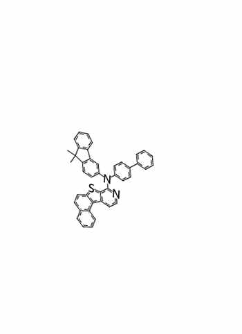 CC1(C)c2ccccc2-c2cc(N(c3ccc(-c4ccccc4)cc3)c3nccc4c3sc3ccc5ccccc5c34)ccc21